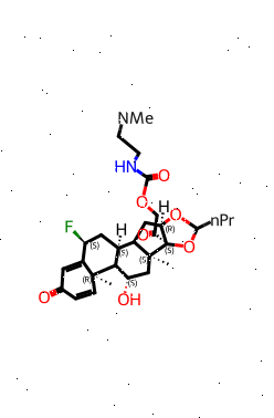 CCCC1O[C@@H]2CC3[C@@H]4C[C@H](F)C5=CC(=O)C=C[C@]5(C)C4[C@@H](O)C[C@]3(C)[C@]2(C(=O)COC(=O)NCCNC)O1